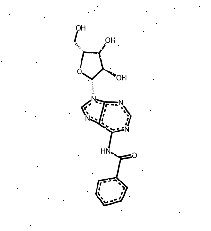 O=C(Nc1ncnc2c1ncn2[C@@H]1O[C@H](CO)C(O)[C@H]1O)c1ccccc1